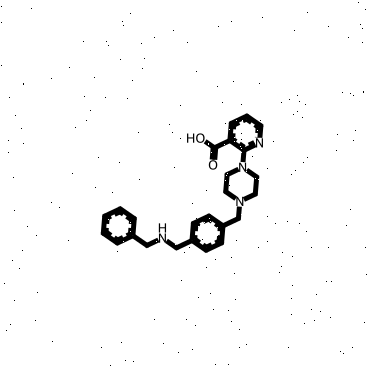 O=C(O)c1cccnc1N1CCN(Cc2ccc(CNCc3ccccc3)cc2)CC1